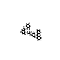 O=C(Nc1ccc(F)cc1)c1ccccc1OCC(O)CN1CCN(C(c2ccccc2)c2ccccc2)CC1